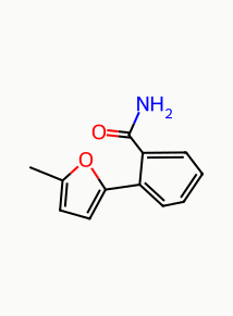 Cc1ccc(-c2ccccc2C(N)=O)o1